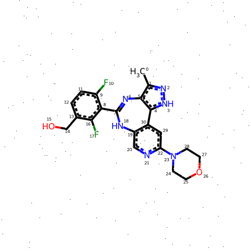 Cc1n[nH]c2c1N=C(c1c(F)ccc(CO)c1F)Nc1cnc(N3CCOCC3)cc1-2